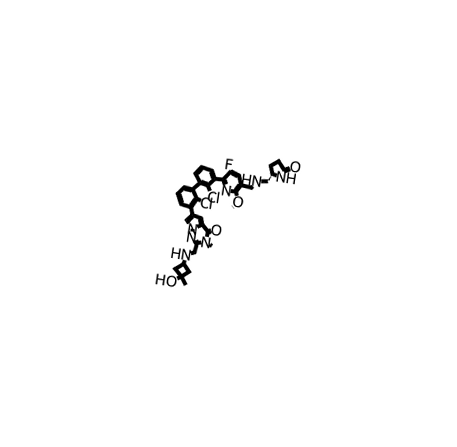 COc1nc(-c2cccc(-c3cccc(-c4cc5c(=O)n(C)c(CNC6CC(C)(O)C6)nn5c4)c3Cl)c2Cl)c(F)cc1CNC[C@@H]1CCC(=O)N1